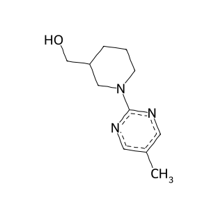 Cc1cnc(N2CCCC(CO)C2)nc1